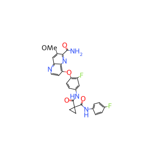 COc1cc2nccc(Oc3ccc(NC(=O)C4(C(=O)Nc5ccc(F)cc5)CC4)cc3F)c2nc1C(N)=O